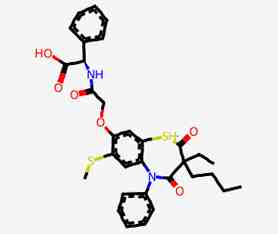 CCCCC1(CC)C(=O)[SH]c2cc(OCC(=O)N[C@@H](C(=O)O)c3ccccc3)c(SC)cc2N(c2ccccc2)C1=O